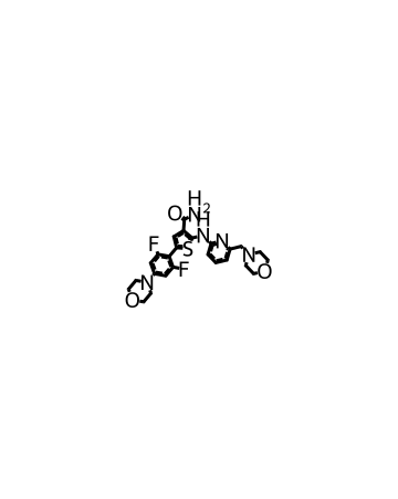 NC(=O)c1cc(-c2c(F)cc(N3CCOCC3)cc2F)sc1Nc1cccc(CN2CCOCC2)n1